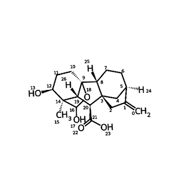 C=C1C[C@]23C[C@H]1CC[C@H]2[C@@]12CC[C@H](O)[C@](C)(C(O)O1)[C@H]2[C@@H]3C(=O)O